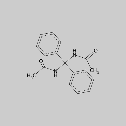 CC(=O)NC(NC(C)=O)(c1ccccc1)c1ccccc1